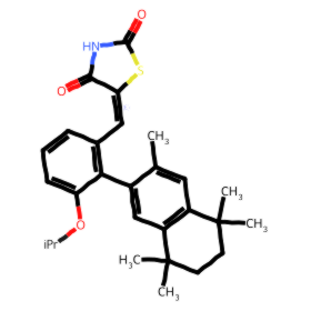 Cc1cc2c(cc1-c1c(/C=C3/SC(=O)NC3=O)cccc1OC(C)C)C(C)(C)CCC2(C)C